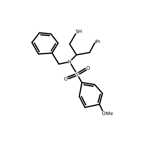 COc1ccc(S(=O)(=O)N(Cc2ccccc2)C(CS)CC(C)C)cc1